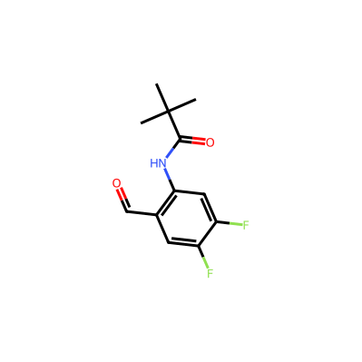 CC(C)(C)C(=O)Nc1cc(F)c(F)cc1C=O